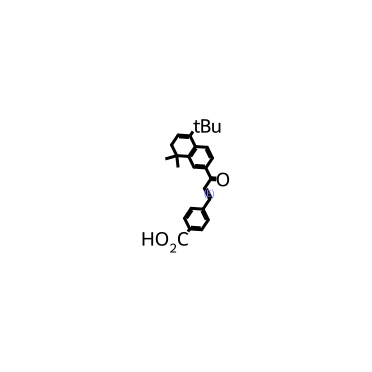 CC(C)(C)C1=CCC(C)(C)c2cc(C(=O)/C=C/c3ccc(C(=O)O)cc3)ccc21